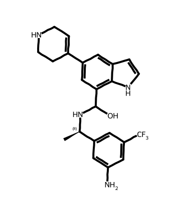 C[C@@H](NC(O)c1cc(C2=CCNCC2)cc2cc[nH]c12)c1cc(N)cc(C(F)(F)F)c1